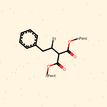 CCCCCOC(=O)C(C(=O)OCCCCC)C(CC)Cc1ccccc1